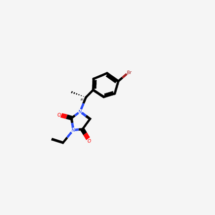 CCN1C(=O)CN([C@H](C)c2ccc(Br)cc2)C1=O